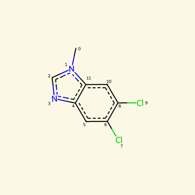 Cn1cnc2cc(Cl)c(Cl)cc21